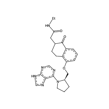 CCNC(=O)CC1CCc2c(OC[C@H]3CCCN3c3ncnc4[nH]cnc34)cccc2C1=O